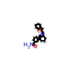 NC(=O)c1cccc(C23CCCC(C2)N(Cc2cc4ccccc4o2)CC3)c1